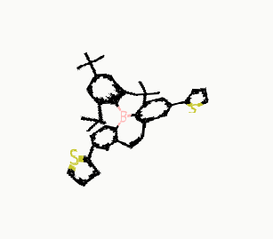 CC(C)(C)c1cc(C(C)(C)C)c(B2c3ccc(-c4cccs4)cc3C=Cc3cc(-c4cccs4)ccc32)c(C(C)(C)C)c1